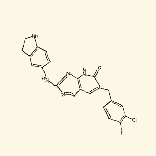 O=c1[nH]c2nc(Nc3ccc4c(c3)CCN4)ncc2cc1Cc1ccc(F)c(Cl)c1